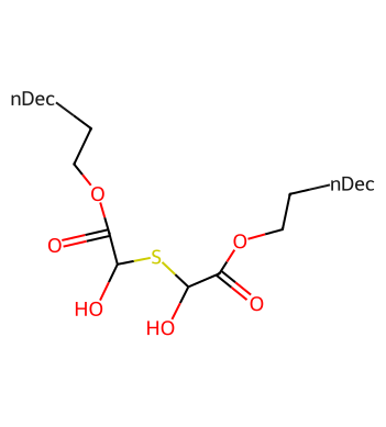 CCCCCCCCCCCCOC(=O)C(O)SC(O)C(=O)OCCCCCCCCCCCC